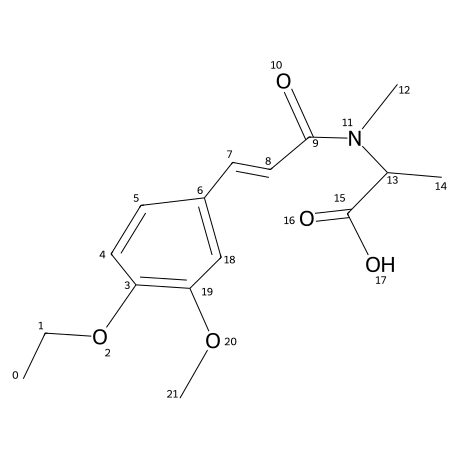 CCOc1ccc(C=CC(=O)N(C)C(C)C(=O)O)cc1OC